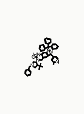 Cc1cc(-c2nn(C(c3ccccc3)(c3ccccc3)c3ccccc3)c3cc4c(cc23)CN(C2CN(Cc3ccccc3)CC2C(C)(C)C)C(=O)N4)ccn1